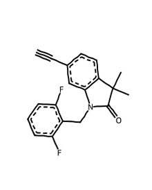 C#Cc1ccc2c(c1)N(Cc1c(F)cccc1F)C(=O)C2(C)C